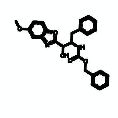 COc1ccc2oc(C(O)C(Cc3ccccc3)NC(=O)OCc3ccccc3)nc2c1